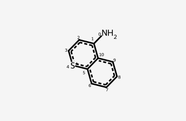 Nc1cc[s+]c2ccccc12